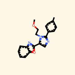 COCCn1c(-c2nc3ccccc3o2)cnc1-c1ccc(C)cc1